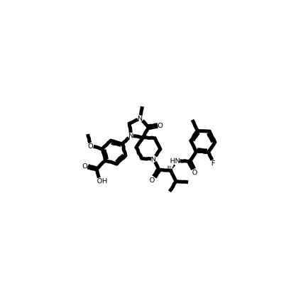 COc1cc(N2CN(C)C(=O)C23CCN(C(=O)[C@H](NC(=O)c2cc(C)ccc2F)C(C)C)CC3)ccc1C(=O)O